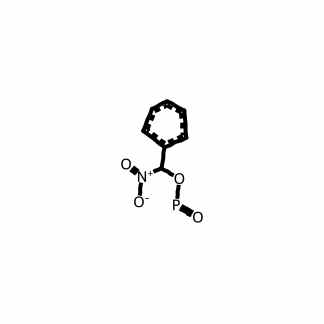 O=POC(c1ccccc1)[N+](=O)[O-]